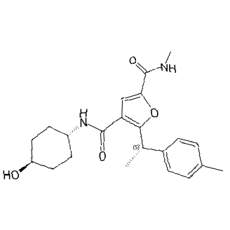 CNC(=O)c1cc(C(=O)N[C@H]2CC[C@H](O)CC2)c([C@@H](C)c2ccc(C)cc2)o1